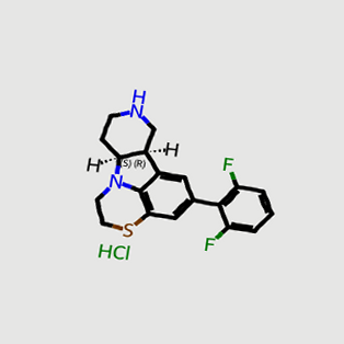 Cl.Fc1cccc(F)c1-c1cc2c3c(c1)[C@@H]1CNCC[C@@H]1N3CCS2